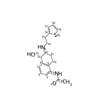 CC(=O)Nc1cccc2c1CCC(NCCc1cccs1)C2.Cl